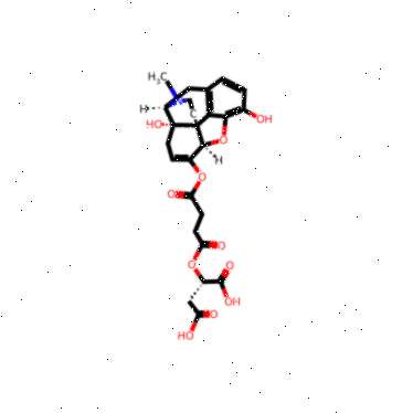 CN1CC[C@]23c4c5ccc(O)c4O[C@H]2C(OC(=O)CCC(=O)O[C@@H](CC(=O)O)C(=O)O)=CC[C@@]3(O)[C@H]1C5